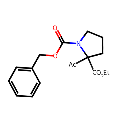 CCOC(=O)C1(C(C)=O)CCCN1C(=O)OCc1ccccc1